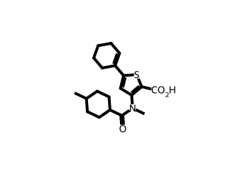 CC1CCC(C(=O)N(C)c2cc(C3=CCCCC3)sc2C(=O)O)CC1